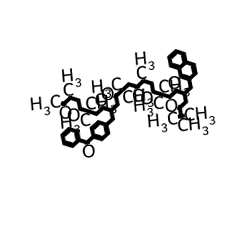 CC(=O)C(C)CC(=O)C(C)(C)CC(=O)C(CC(=O)C(C)(C)CC(=O)C(C)CC(=O)C(C)(C)CC(=O)C(CC(=O)C(C)(C)C)Cc1ccc2ccccc2c1)Cc1ccc(C(=O)c2ccccc2)cc1